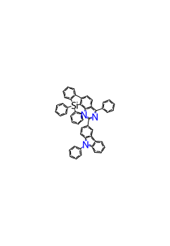 c1ccc(-c2nc(-c3ccc4c(c3)c3ccccc3n4-c3ccccc3)nc3c4c(ccc23)-c2ccccc2[Si]4(c2ccccc2)c2ccccc2)cc1